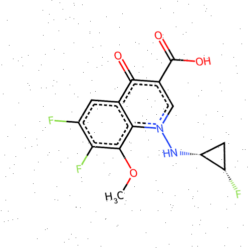 COc1c(F)c(F)cc2c(=O)c(C(=O)O)cn(N[C@@H]3C[C@@H]3F)c12